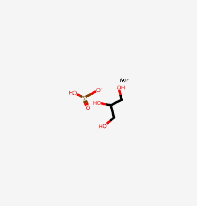 O=S([O-])O.OCC(O)CO.[Na+]